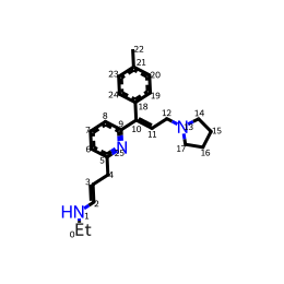 CCNC=CCc1cccc(C(=CCN2CCCC2)c2ccc(C)cc2)n1